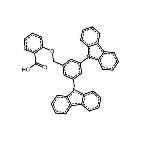 O=C(O)c1ncccc1OCc1cc(-n2c3ccccc3c3ccccc32)cc(-n2c3ccccc3c3ccccc32)c1